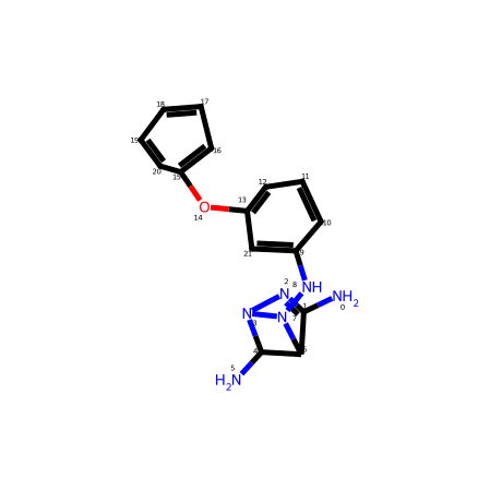 NC1=NN2C(N)C1N2Nc1cccc(Oc2ccccc2)c1